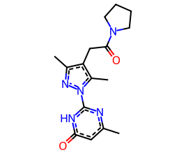 Cc1cc(=O)[nH]c(-n2nc(C)c(CC(=O)N3CCCC3)c2C)n1